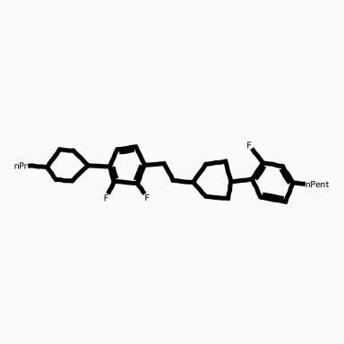 CCCCCc1ccc(C2CCC(CCc3ccc(C4CCC(CCC)CC4)c(F)c3F)CC2)c(F)c1